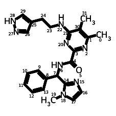 Cc1nc(C(=O)NC(c2ccccc2)c2nccn2C)nc(NCCc2cn[nH]c2)c1C